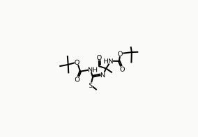 CSC(=NC(C)(C=O)NC(=O)OC(C)(C)C)NC(=O)OC(C)(C)C